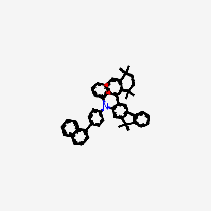 CC1(C)CCC(C)(C)c2c(-c3cc4c(cc3N(c3ccccc3)c3ccc(-c5cccc6ccccc56)cc3)C(C)(C)c3ccccc3-4)cccc21